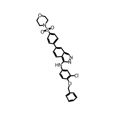 O=S(=O)(c1ccc(-c2ccc3c(Nc4ccc(OCc5ccccc5)c(Cl)c4)nncc3c2)cc1)N1CCOCC1